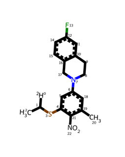 [2H]C(C)Sc1cc(N2CCc3cc(F)ccc3C2)cc(C)c1[N+](=O)[O-]